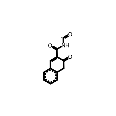 O=[C]NC(=O)C1=Cc2ccccc2CC1=O